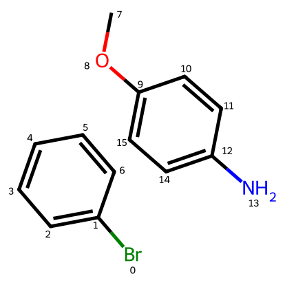 Brc1ccccc1.COc1ccc(N)cc1